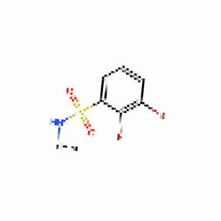 CCCCCCNS(=O)(=O)c1cccc(Br)c1Br